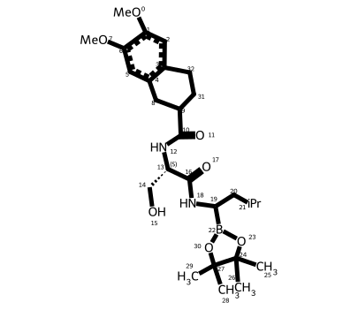 COc1cc2c(cc1OC)CC(C(=O)N[C@@H](CO)C(=O)NC(CC(C)C)B1OC(C)(C)C(C)(C)O1)CC2